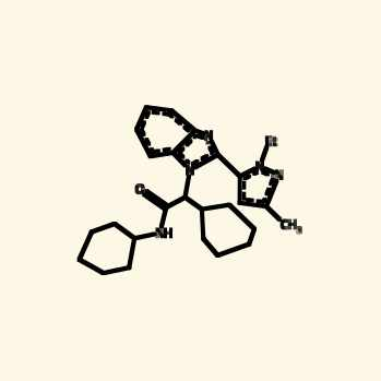 CCn1nc(C)cc1-c1nc2ccccc2n1C(C(=O)NC1CCCCC1)C1CCCCC1